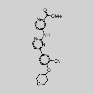 COC(=O)c1cc(Nc2nccc(-c3ccc(OC4CCOCC4)c(C#N)c3)n2)ccn1